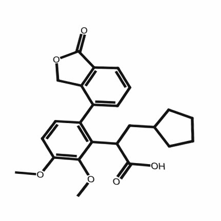 COc1ccc(-c2cccc3c2COC3=O)c(C(CC2CCCC2)C(=O)O)c1OC